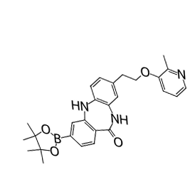 Cc1ncccc1OCCc1ccc2c(c1)NC(=O)c1ccc(B3OC(C)(C)C(C)(C)O3)cc1N2